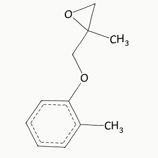 Cc1ccccc1OCC1(C)CO1